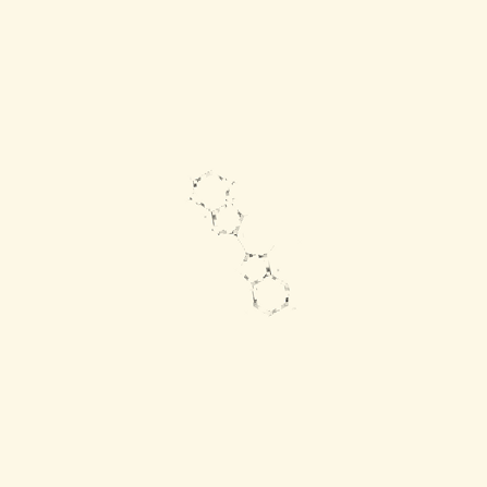 Cc1c(-c2cn3nccnc3n2)sc2ccccc12